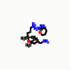 C[Si](C)(CCCN)O[Si](C)(C)CCCN.N[Si]1(N)CCCCO1